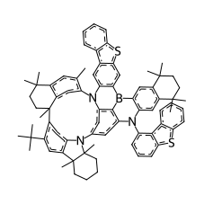 Cc1cc2c3cc1N1c4cc5c(cc4B4c6cc7c(cc6N(c6cccc8sc9ccccc9c68)c6cc(cc1c64)N1c4cc(c(C(C)(C)C)cc4C4(C)CCCCC14C)C3(C)CCC2(C)C)C(C)(C)CCC7(C)C)sc1ccccc15